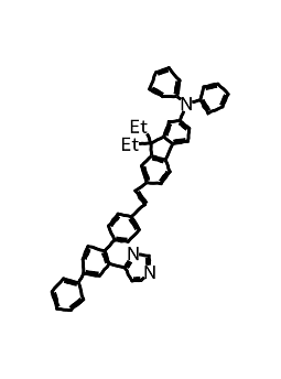 CCC1(CC)c2cc(/C=C/c3ccc(-c4ccc(-c5ccccc5)cc4-c4ccncn4)cc3)ccc2-c2ccc(N(c3ccccc3)c3ccccc3)cc21